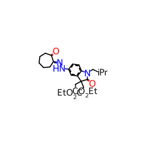 CCOC(=O)CC1(CC(=O)OCC)C(=O)N(CC(C)C)c2ccc(N/N=C3\CCCCCC3=O)cc21